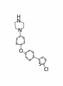 Clc1ccc(-c2ccc(Oc3ccc(N4CCNCC4)cc3)cc2)s1